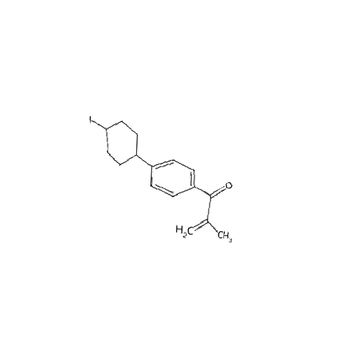 C=C(C)C(=O)c1ccc(C2CCC(I)CC2)cc1